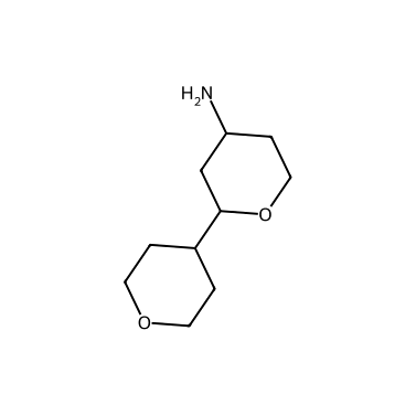 NC1CCOC(C2CCOCC2)C1